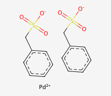 O=S(=O)([O-])Cc1ccccc1.O=S(=O)([O-])Cc1ccccc1.[Pd+2]